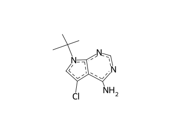 CC(C)(C)n1cc(Cl)c2c(N)ncnc21